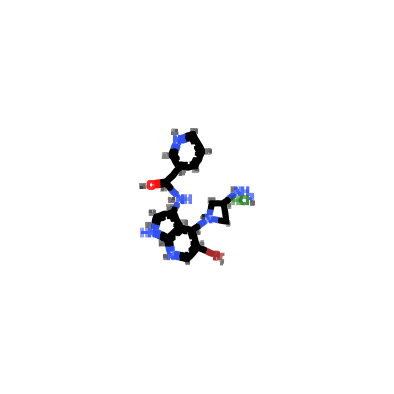 Cl.NC1CN(c2c(Br)cnc3[nH]cc(NC(=O)c4cccnc4)c23)C1